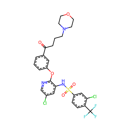 O=C(CCCN1CCOCC1)c1cccc(Oc2ncc(Cl)cc2NS(=O)(=O)c2ccc(C(F)(F)F)c(Cl)c2)c1